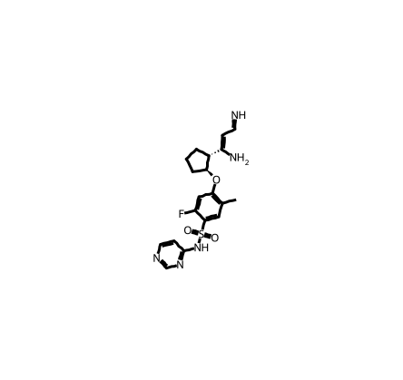 Cc1cc(S(=O)(=O)Nc2ccncn2)c(F)cc1O[C@H]1CCC[C@@H]1/C(N)=C/C=N